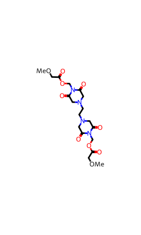 COCC(=O)OCN1C(=O)CN(CCN2CC(=O)N(COC(=O)COC)C(=O)C2)CC1=O